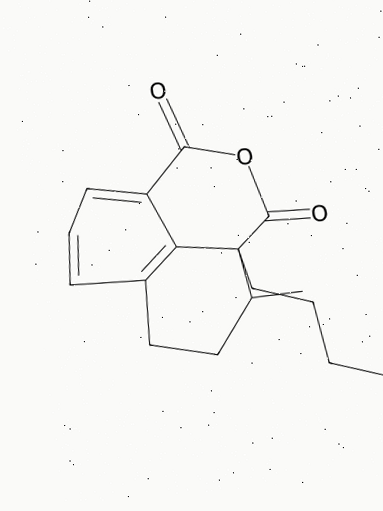 CCCCC12C(=O)OC(=O)c3cccc(c31)CCC2C